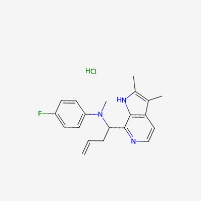 C=CCC(c1nccc2c(C)c(C)[nH]c12)N(C)c1ccc(F)cc1.Cl